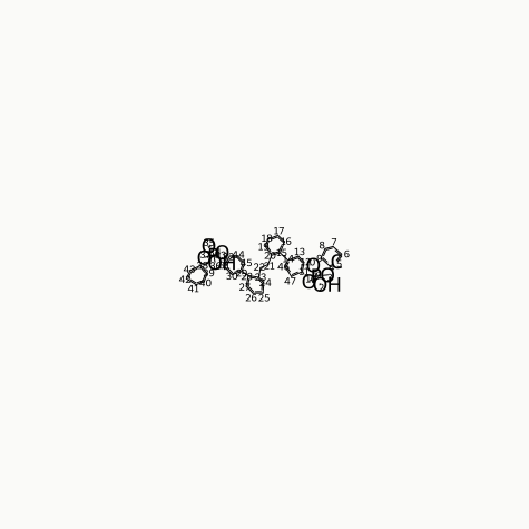 O=P(O)(Oc1ccccc1)Oc1ccc(-c2ccccc2CCc2ccccc2-c2ccc(OP(=O)(O)Oc3ccccc3)cc2)cc1